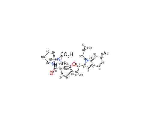 CC(=O)c1ccc2cc(-c3oc4cc(C(=O)N5CC6CCC5[C@@H]6N(C(=O)O)C(C)(C)C)ccc4c3C)n(CC3CC3)c2c1